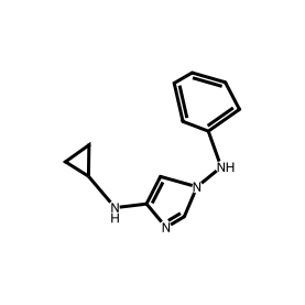 c1ccc(Nn2cnc(NC3CC3)c2)cc1